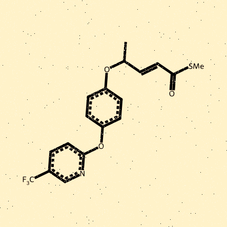 CSC(=O)/C=C/C(C)Oc1ccc(Oc2ccc(C(F)(F)F)cn2)cc1